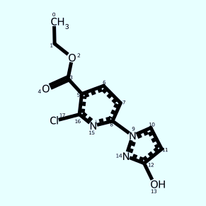 CCOC(=O)c1ccc(-n2ccc(O)n2)nc1Cl